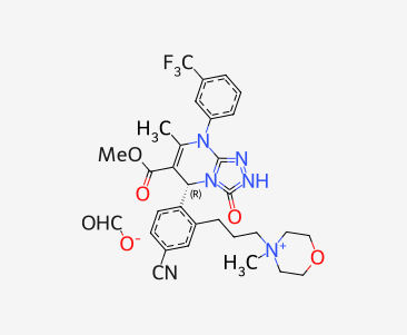 COC(=O)C1=C(C)N(c2cccc(C(F)(F)F)c2)c2n[nH]c(=O)n2[C@@H]1c1ccc(C#N)cc1CCC[N+]1(C)CCOCC1.O=C[O-]